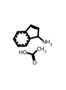 CC(=O)O.NC1C=Cc2ccccc21